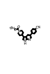 CC(C)(C)OC(=O)N1CC=C(c2c[nH]c3ncc(-c4ccc(C#N)cc4)cc23)CC1